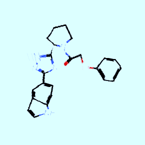 O=C(COc1ccccc1)N1CCCC[C@@H]1c1nc(-c2ccc3[nH]ccc3c2)n[nH]1